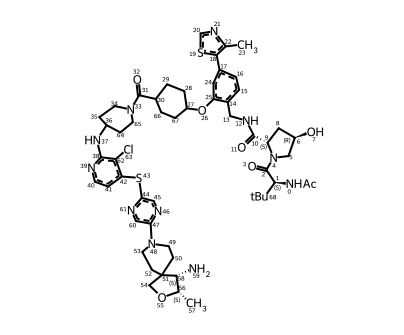 CC(=O)N[C@H](C(=O)N1C[C@H](O)C[C@H]1C(=O)NCc1ccc(-c2scnc2C)cc1OC1CCC(C(=O)N2CCC(Nc3nccc(Sc4cnc(N5CCC6(CC5)CO[C@@H](C)[C@H]6N)cn4)c3Cl)CC2)CC1)C(C)(C)C